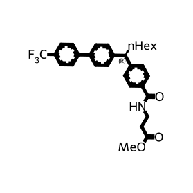 CCCCCC[C@@H](c1ccc(C(=O)NCCC(=O)OC)cc1)c1ccc(-c2ccc(C(F)(F)F)cc2)cc1